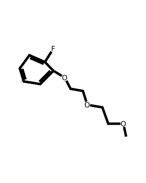 COCCOCCOc1c[c]ccc1F